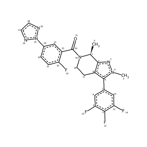 C[C@H]1c2nn(C)c(-c3cc(F)c(F)c(F)c3)c2CCN1C(=O)c1cc(-n2nccn2)ccc1F